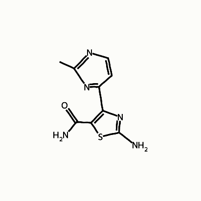 Cc1nccc(-c2nc(N)sc2C(N)=O)n1